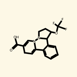 O=C(O)C1=CN2C(=CC1)c1ccccc1C1C(OC(F)(F)F)CCN12